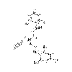 CCc1cc(CC)c(NCCN(C)CCNc2c(C)cc(C)cc2C)c(CC)c1.[Cl-].[Cl-].[Co+2]